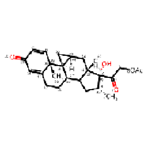 CC(=O)OCC(=O)[C@@]1(O)[C@H](C)CC2C3CCC4=CC(=O)C=C[C@]4(C)[C@@]34C[C@H]4C[C@@]21C